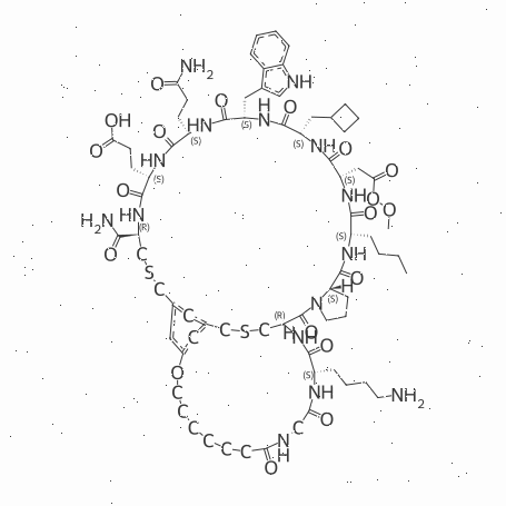 CCCC[C@@H]1NC(=O)[C@@H]2CCCN2C(=O)[C@@H]2CSCc3cc(cc(c3)OCCCCCCC(=O)NCC(=O)N[C@@H](CCCCN)C(=O)N2)CSC[C@@H](C(N)=O)NC(=O)[C@H](CCC(=O)O)NC(=O)[C@H](CCC(N)=O)NC(=O)[C@H](Cc2c[nH]c3ccccc23)NC(=O)[C@H](CC2CCC2)NC(=O)[C@H](CC(=O)OOC)NC1=O